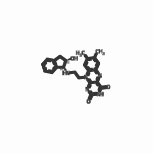 Cc1cc2nc3c(=O)[nH]c(=O)nc-3n(CCN[C@@H]3c4ccccc4C[C@@H]3O)c2cc1C